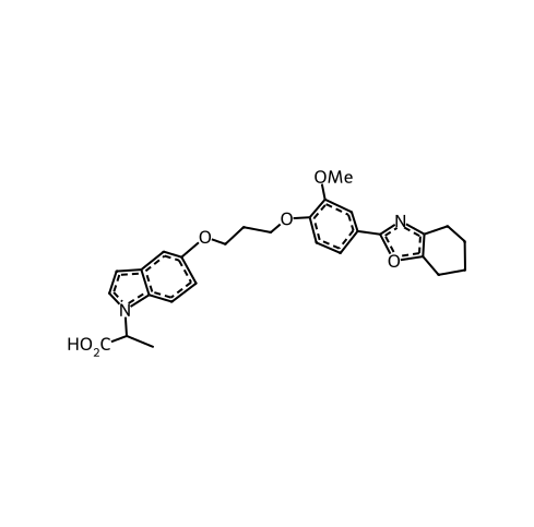 COc1cc(-c2nc3c(o2)CCCC3)ccc1OCCCOc1ccc2c(ccn2C(C)C(=O)O)c1